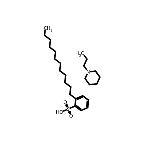 CCCCCCCCCCCCc1ccccc1S(=O)(=O)O.CCCN1CCCCC1